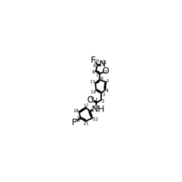 O=C(Cc1ccc(-c2cc(F)no2)cc1)Nc1ccc(F)cc1